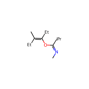 CC/C(C)=C(/CC)O/C(=N\C)C(C)C